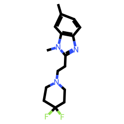 Cc1ccc2nc(CCN3CCC(F)(F)CC3)n(C)c2c1